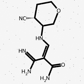 N#C[C@@H]1CCOCC1N/C=C(\C(=N)N)C(N)=O